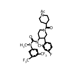 CC(=O)N1CCC(C(=O)N2CCC(N(C)C(=O)N(C)c3cc(C(F)(F)F)cc(C(F)(F)F)c3)C(c3ccc(F)cc3)C2)CC1